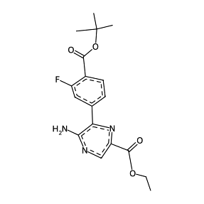 CCOC(=O)c1cnc(N)c(-c2ccc(C(=O)OC(C)(C)C)c(F)c2)n1